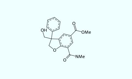 CNC(=O)c1cc(C(=O)OC)cc2c1OCC2(CO)c1ccccc1